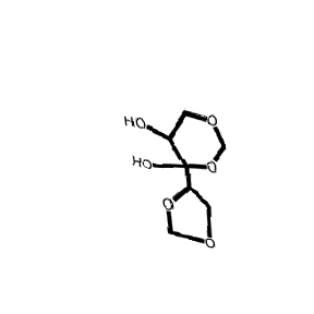 OC1COCOC1(O)C1COCO1